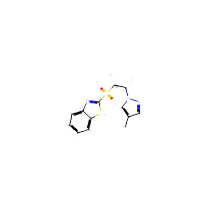 Cc1cnn([C@@H](C)[C@@H](C)S(=O)(=O)c2nc3ccccc3s2)c1